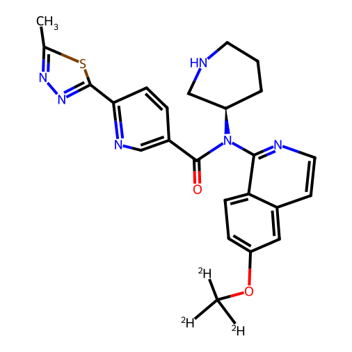 [2H]C([2H])([2H])Oc1ccc2c(N(C(=O)c3ccc(-c4nnc(C)s4)nc3)[C@@H]3CCCNC3)nccc2c1